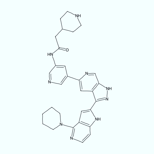 O=C(CC1CCNCC1)Nc1cncc(-c2cc3c(-c4cc5c(N6CCCCC6)nccc5[nH]4)n[nH]c3cn2)c1